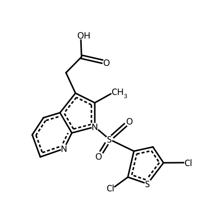 Cc1c(CC(=O)O)c2cccnc2n1S(=O)(=O)c1cc(Cl)sc1Cl